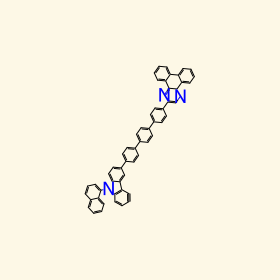 c1ccc2c(c#1)c1cc(-c3ccc(-c4ccc(-c5ccc(-c6cnc7c8ccccc8c8ccccc8c7n6)cc5)cc4)cc3)ccc1n2-c1cccc2ccccc12